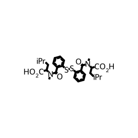 CC(C)CC(C(=O)O)N(C)C(=O)c1ccccc1SSc1ccccc1C(=O)N(C)C(CC(C)C)C(=O)O